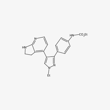 CCOC(=O)Nc1ccc(-c2nn(CC)cc2-c2ccnc3c2CCN3)cc1